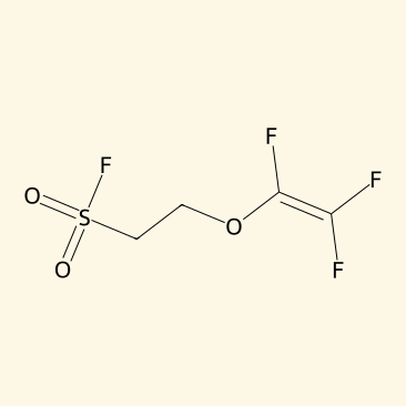 O=S(=O)(F)CCOC(F)=C(F)F